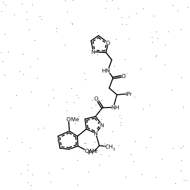 COc1cccc(OC)c1-c1cc(C(=O)NC(CC(=O)NCc2ncco2)C(C)C)nn1C(C)C(C)C